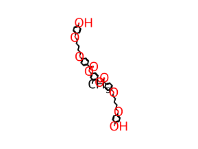 Cc1cc(OC(=O)c2ccc(OCCCCCOc3ccc(O)cc3)cc2)ccc1OC(=O)c1ccc(OCCCCCOc2ccc(O)cc2)cc1